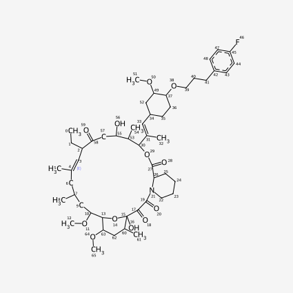 CCC1/C=C(\C)CC(C)CC(OC)C2OC(O)(C(=O)C(=O)N3CCCCC3C(=O)OC(C(C)=CC3CCC(OCCCc4ccc(F)cc4)C(OC)C3)C(C)C(O)CC1=O)C(C)CC2OC